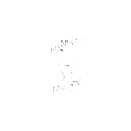 COC(=O)c1ccc(CCNNC(C)=O)cc1